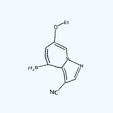 Bc1cc(OCC)cn2ncc(C#N)c12